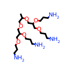 CC(COCC(COCCCN)OCCCN)OCC(COCCCN)OCCCN